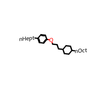 CCCCCCCCC1CCC(CCCOc2ccc(CCCCCCC)cc2)CC1